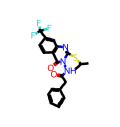 CC(C)Sc1nc2cc(C(F)(F)F)ccc2c(=O)n1NC(=O)Cc1ccccc1